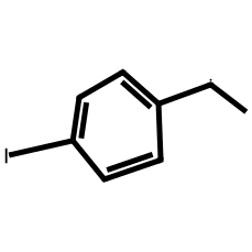 C[CH]c1ccc(I)cc1